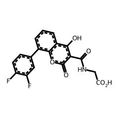 O=C(O)CNC(=O)c1c(O)c2cccc(-c3ccc(F)c(F)c3)c2oc1=O